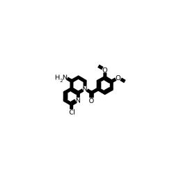 COc1ccc(C(=O)N2CCC(N)c3ccc(Cl)nc32)cc1OC